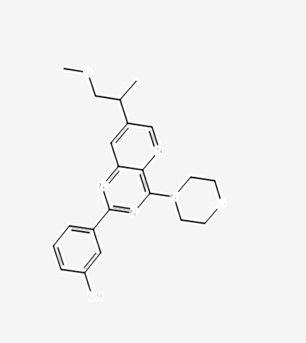 COCC(C)c1cnc2c(N3CCOCC3)nc(-c3cccc(O)c3)nc2c1